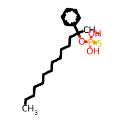 CCCCCCCCCCCCC(C)(OP(O)(O)=S)c1ccccc1